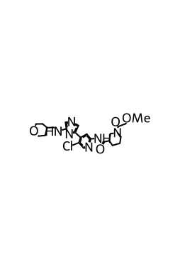 COCC(=O)N1CCCC(C(=O)Nc2cc(-c3cncc(NCC4CCOCC4)n3)c(Cl)cn2)C1